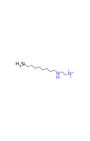 C[N+](C)(C)CCNCCCCCCCC[SiH3]